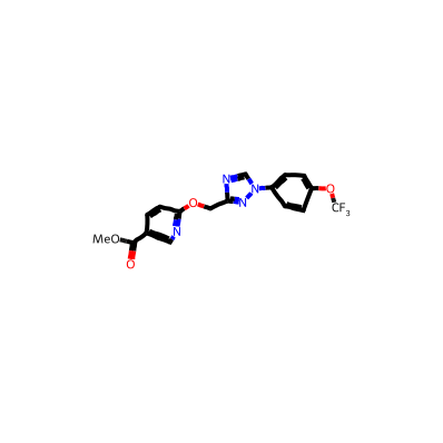 COC(=O)c1ccc(OCc2ncn(-c3ccc(OC(F)(F)F)cc3)n2)nc1